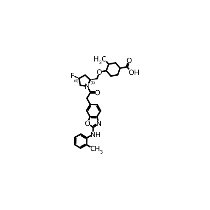 Cc1ccccc1Nc1nc2ccc(CC(=O)N3C[C@@H](F)C[C@H]3COC3CCC(C(=O)O)CC3C)cc2o1